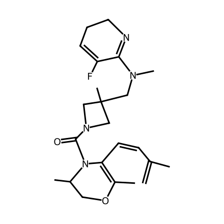 C=C(C)/C=C\C1=C(C)OCC(C)N1C(=O)N1CC(C)(CN(C)C2=NCCC=C2F)C1